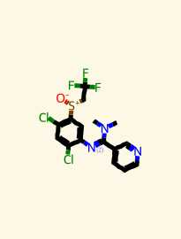 CN(C)/C(=N\c1cc([S+]([O-])CC(F)(F)F)c(Cl)cc1Cl)c1cccnc1